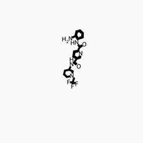 Nc1ccccc1NC(=O)c1ccc(C(=O)NC2CCCN(CC(F)(F)F)C2)cn1